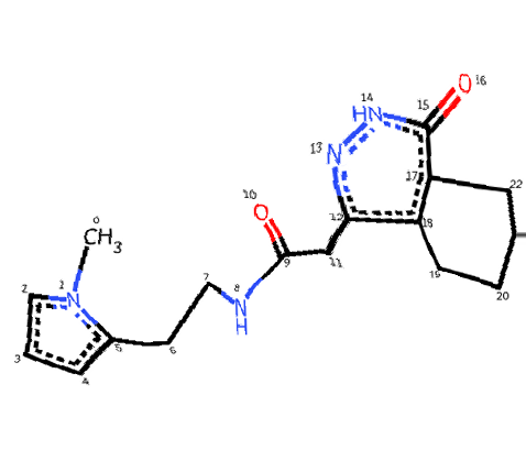 Cn1cccc1CCNC(=O)Cc1n[nH]c(=O)c2c1CCCC2